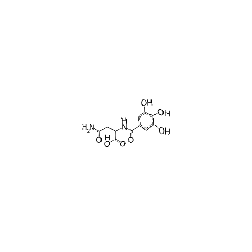 NC(=O)CC(NC(=O)c1cc(O)c(O)c(O)c1)C(=O)O